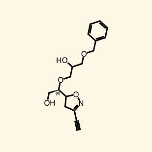 C#CC1=NOC([C@@H](CO)OCC(O)COCc2ccccc2)C1